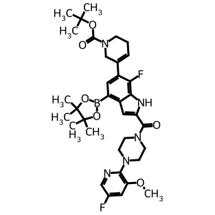 COc1cc(F)cnc1N1CCN(C(=O)c2cc3c(B4OC(C)(C)C(C)(C)O4)cc(C4=CCCN(C(=O)OC(C)(C)C)C4)c(F)c3[nH]2)CC1